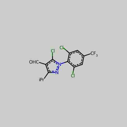 CC(C)c1nn(-c2c(Cl)cc(C(F)(F)F)cc2Cl)c(Cl)c1C=O